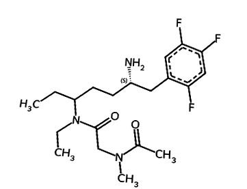 CCC(CC[C@H](N)Cc1cc(F)c(F)cc1F)N(CC)C(=O)CN(C)C(C)=O